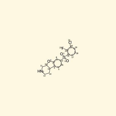 O=S(=O)(c1ccc2c(c1)OC1CNCCC21)c1cccc(Cl)c1F